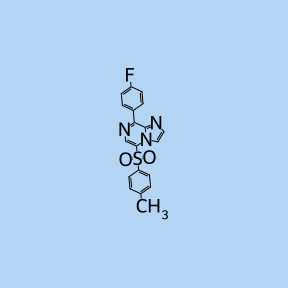 Cc1ccc(S(=O)(=O)c2cnc(-c3ccc(F)cc3)c3nccn23)cc1